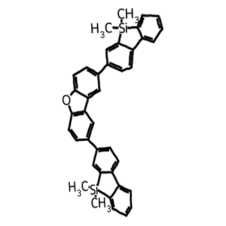 C[Si]1(C)c2ccccc2-c2ccc(-c3ccc4oc5ccc(-c6ccc7c(c6)[Si](C)(C)c6ccccc6-7)cc5c4c3)cc21